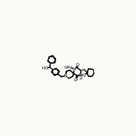 CCCCN1C(=O)[C@@H](CC2(O)CCCCC2)NC(=O)C12CCN(Cc1ccc(C(O)c3ccccc3)cc1)CC2